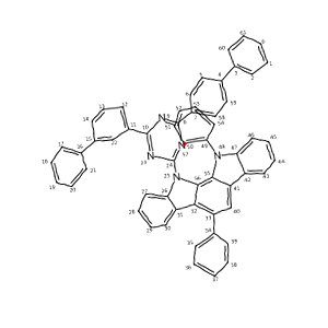 c1ccc(-c2ccc(-c3nc(-c4cccc(-c5ccccc5)c4)nc(-n4c5ccccc5c5c(-c6ccccc6)cc6c7ccccc7n(-c7ccccc7)c6c54)n3)cc2)cc1